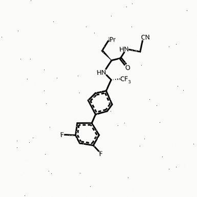 CC(C)C[C@H](N[C@@H](c1ccc(-c2cc(F)cc(F)c2)cc1)C(F)(F)F)C(=O)NCC#N